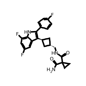 NC(=O)C1(C(=O)NC[C@H]2C[C@H](c3c(-c4ccc(F)cc4)[nH]c4c(F)cc(F)cc43)C2)CC1